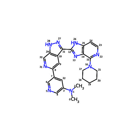 CN(C)c1cncc(-c2cc3c(-c4nc5c(N6CCCCC6)nccc5[nH]4)n[nH]c3cn2)c1